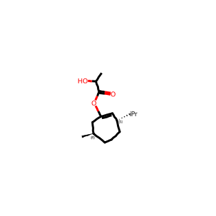 CC(O)C(=O)OC1=C[C@H](C(C)C)CCC[C@@H](C)C1